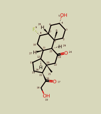 C[C@]12CC[C@@H](O)C[C@H]1[C@@H](F)C[C@H]1[C@@H]3CC[C@H](C(=O)CO)[C@@]3(C)CC(=O)[C@@H]12